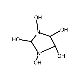 OC1C(O)N(O)C(O)N1O